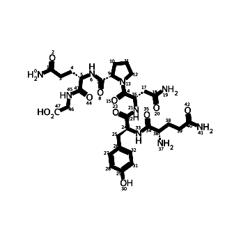 NC(=O)CC[C@H](NC(=O)[C@@H]1CCCN1C(=O)[C@H](CC(N)=O)NC(=O)[C@H](Cc1ccc(O)cc1)NC(=O)[C@@H](N)CCC(N)=O)C(=O)NCC(=O)O